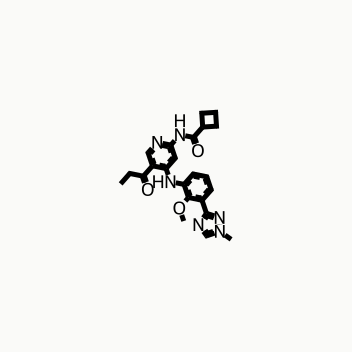 CCC(=O)c1cnc(NC(=O)C2CCC2)cc1Nc1cccc(-c2ncn(C)n2)c1OC